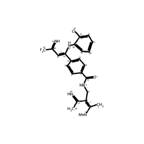 CN/C(C)=C(/CNC(=O)c1ccc(/C(=C/C(=N)C(F)(F)F)Nc2ccccc2Cl)cc1)C(C)=N